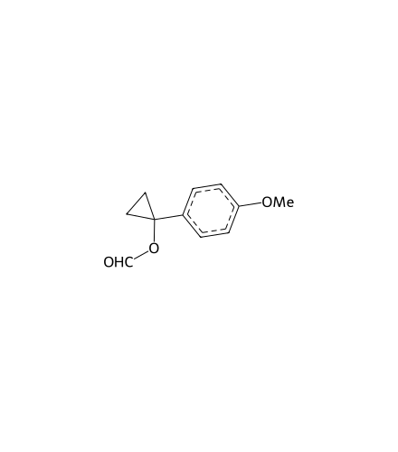 COc1ccc(C2(OC=O)CC2)cc1